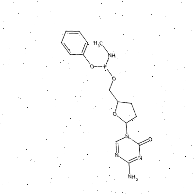 CNP(OCC1CCC(n2cnc(N)nc2=O)O1)Oc1ccccc1